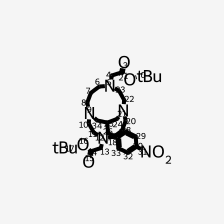 CC(C)(C)OC(=O)CN1CCCN2CCN(CC(=O)OC(C)(C)C)CCCN(CC1)CC(Cc1ccc([N+](=O)[O-])cc1)C2